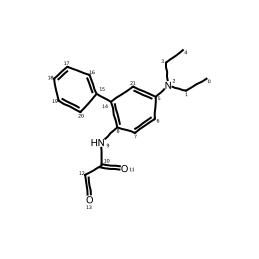 CCN(CC)c1ccc(NC(=O)C=O)c(-c2ccccc2)c1